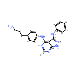 Cl.NCCCc1ccc(Nc2ncnc3[nH]nc(Nc4ccccc4)c23)cc1